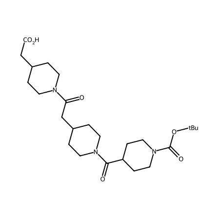 CC(C)(C)OC(=O)N1CCC(C(=O)N2CCC(CC(=O)N3CCC(CC(=O)O)CC3)CC2)CC1